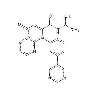 CC(C)NC(=O)c1cc(=O)c2cccnc2n1-c1cccc(-c2cncnc2)c1